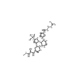 CCNC(=O)Nc1cc(-c2nc(C(F)(F)F)cs2)c(-c2cncc(-c3nnc(NCCCN(C)C)o3)c2)cn1